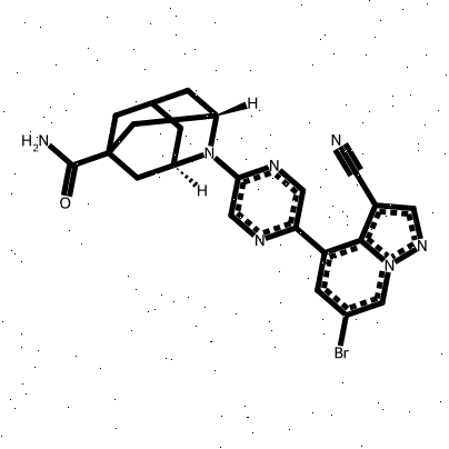 N#Cc1cnn2cc(Br)cc(-c3cnc(N4[C@@H]5CC6C[C@H]4CC(C(N)=O)(C6)C5)cn3)c12